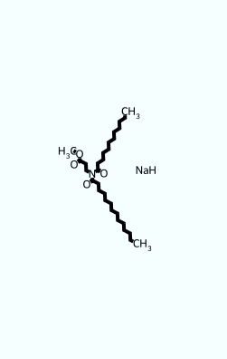 CCCCCCCCCCCCCC(=O)N(CCC(=O)OC)C(=O)CCCCCCCCCCC.[NaH]